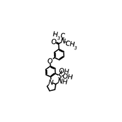 CN(C)C(=O)c1cccc(Oc2ccc3c(c2)S(O)(O)NC2CCCN32)c1